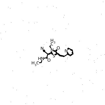 CCNC(=O)/C(C#N)=c1\sc(=C=Cc2ccccn2)c(=O)n1CC